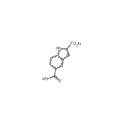 CCCC(=O)c1ccc2[nH]c(C(=O)O)cc2c1